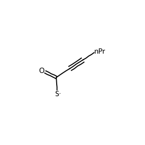 CCCC#CC(=O)[S]